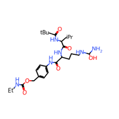 CCNC(=O)OCc1ccc(NC(=O)C(CCCNC(N)O)NC(=O)C(NC(=O)C(C)(C)C)C(C)C)cc1